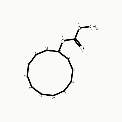 COC(=O)OC1CCCCCCCCCCC1